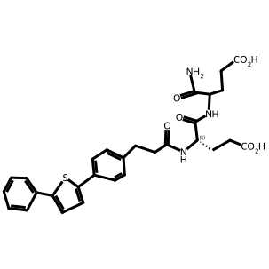 NC(=O)C(CCC(=O)O)NC(=O)[C@H](CCC(=O)O)NC(=O)CCc1ccc(-c2ccc(-c3ccccc3)s2)cc1